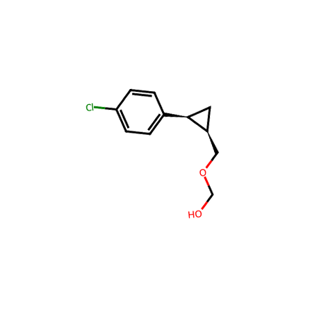 OCOC[C@@H]1C[C@@H]1c1ccc(Cl)cc1